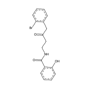 O=C(CCNC(=O)c1ccccc1O)Cc1ccccc1Br